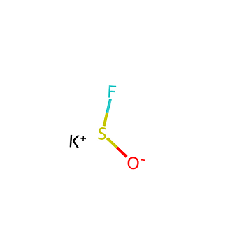 [K+].[O-]SF